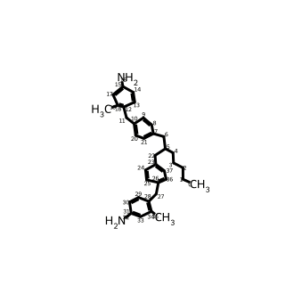 CCCCCC(Cc1ccc(Cc2ccc(N)cc2C)cc1)Cc1ccc(Cc2ccc(N)cc2C)cc1